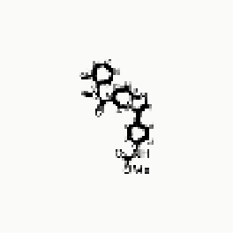 COC(=O)Nc1ccc(-c2cnc3ccc(C(=O)N(C)c4ccccc4C)cn23)cc1